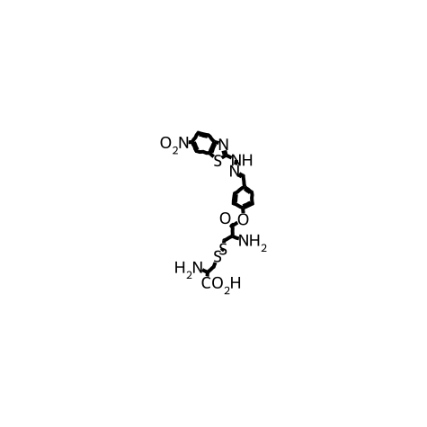 NC(CSSCC(N)C(=O)Oc1ccc(C=NNc2nc3ccc([N+](=O)[O-])cc3s2)cc1)C(=O)O